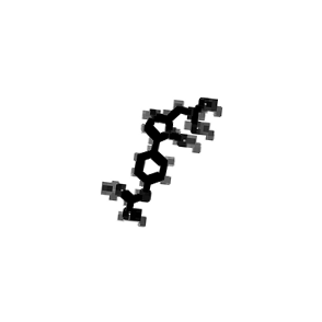 C=C(C)Oc1ccc(-c2cnc(CN(C)C)n2C)cc1